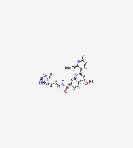 CCOc1cc(-c2ccc(C)nc2OC)nc2cc(C(=O)NCCCc3[nH]nnc3C)ccc12